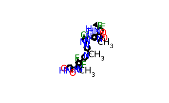 C[C@@H](C1CCN(c2ncc(Cl)c(Nc3ccc4c(c3)c3c(c(=O)n4C)OCC(F)(F)[C@H](C4CC4)N3)n2)CC1)N1CCC(c2c(F)cc3c(C4CCC(=O)NC4=O)nn(C)c3c2F)CC1